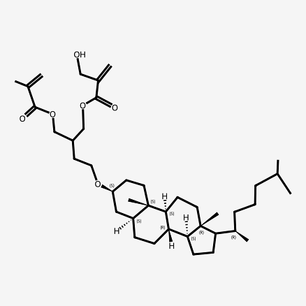 C=C(C)C(=O)OCC(CCO[C@H]1CC[C@@]2(C)[C@@H](CC[C@@H]3[C@@H]2CC[C@]2(C)C([C@H](C)CCCC(C)C)CC[C@@H]32)C1)COC(=O)C(=C)CO